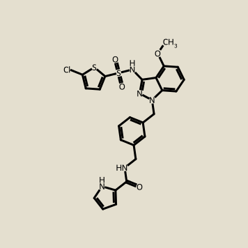 COc1cccc2c1c(NS(=O)(=O)c1ccc(Cl)s1)nn2Cc1cccc(CNC(=O)c2ccc[nH]2)c1